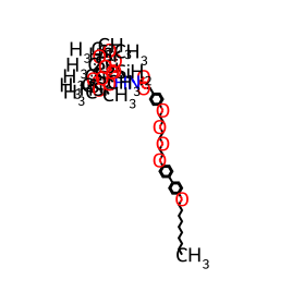 CCCCCCCCCCOc1ccc(-c2ccc(OCCOCCOCCOc3ccc(COC(=O)NCC[SiH2]O[Si]45O[SiH](C)O[Si](C)(C)O[Si](C)(C[Si]6(C)O[Si](C)(C)O[SiH](C)O[Si](C)(O6)O4)O5)cc3)cc2)cc1